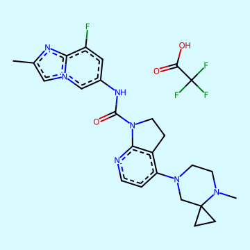 Cc1cn2cc(NC(=O)N3CCc4c(N5CCN(C)C6(CC6)C5)ccnc43)cc(F)c2n1.O=C(O)C(F)(F)F